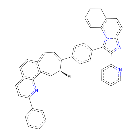 CC[C@H]1C=c2c(ccc3ccc(-c4ccccc4)nc23)=CC=C1c1ccc(-c2c(-c3ccccn3)nc3ccc4c(n23)C=CCC4)cc1